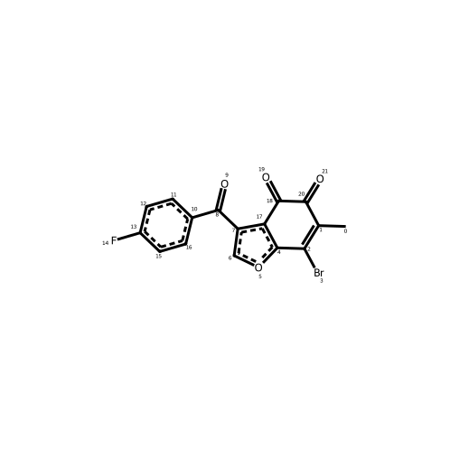 CC1=C(Br)c2occ(C(=O)c3ccc(F)cc3)c2C(=O)C1=O